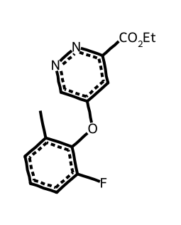 CCOC(=O)c1cc(Oc2c(C)cccc2F)cnn1